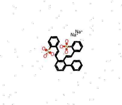 O=S(=O)([O-])c1ccccc1C=Cc1cccc(-c2ccccc2)c1C=Cc1ccccc1S(=O)(=O)[O-].[Na+].[Na+]